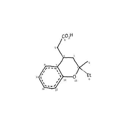 CCC1(C)CC(CC(=O)O)c2ccccc2O1